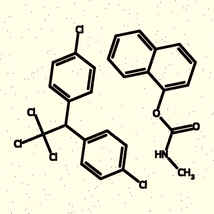 CNC(=O)Oc1cccc2ccccc12.Clc1ccc(C(c2ccc(Cl)cc2)C(Cl)(Cl)Cl)cc1